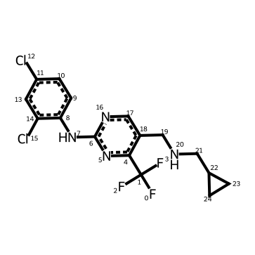 FC(F)(F)c1nc(Nc2ccc(Cl)cc2Cl)ncc1CNCC1CC1